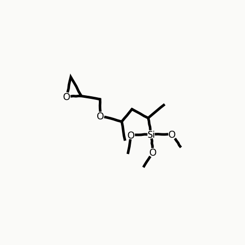 CO[Si](OC)(OC)C(C)CC(C)OCC1CO1